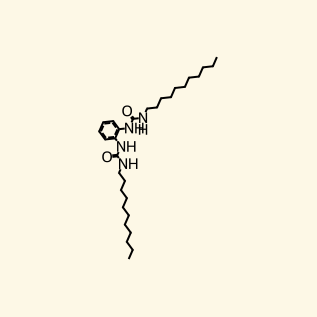 CCCCCCCCCCCNC(=O)Nc1ccccc1NC(=O)NCCCCCCCCCCC